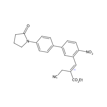 CCOC(=O)/C(=C/c1cc(-c2ccc(N3CCCC3=O)cc2)ccc1[N+](=O)[O-])CC#N